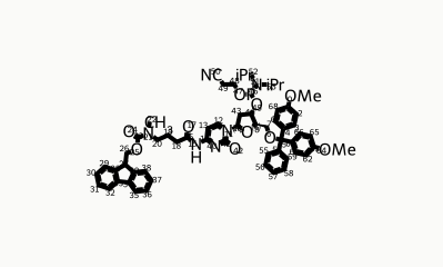 COc1ccc(C(OC[C@H]2O[C@@H](n3ccc(NC(=O)CCCN(C)C(=O)OCC4c5ccccc5-c5ccccc54)nc3=O)CC2OP(OCCC#N)N(C(C)C)C(C)C)(c2ccccc2)c2ccc(OC)cc2)cc1